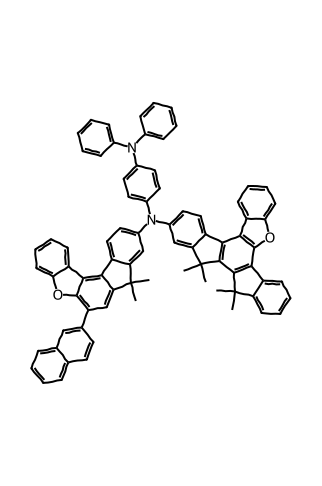 CC1(C)c2cc(N(c3ccc(N(c4ccccc4)c4ccccc4)cc3)c3ccc4c(c3)C(C)(C)c3c5c(c6oc7ccccc7c6c3-4)-c3ccccc3C5(C)C)ccc2-c2c1cc(-c1ccc3ccccc3c1)c1oc3ccccc3c21